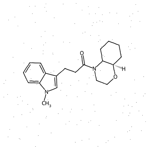 Cn1cc(CCC(=O)N2CCO[C@@H]3CCCCC32)c2ccccc21